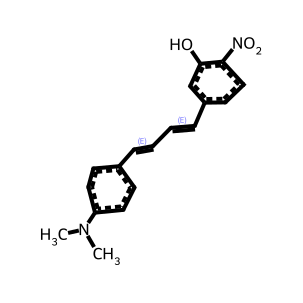 CN(C)c1ccc(/C=C/C=C/c2ccc([N+](=O)[O-])c(O)c2)cc1